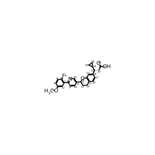 COc1ccc(F)c(-c2ccc(C3CCc4ccc([C@@H](CC(=O)O)C5CC5)cc4O3)cn2)c1